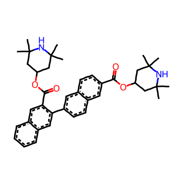 CC1(C)CC(OC(=O)c2ccc3cc(-c4cc5ccccc5cc4C(=O)OC4CC(C)(C)NC(C)(C)C4)ccc3c2)CC(C)(C)N1